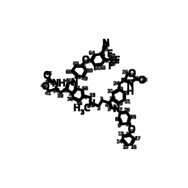 CN(CCc1cn(-c2ccc(Oc3ccccc3)cc2)c2ccc(C[C@H]3COC(=O)N3)cc12)Cc1ccc2c(C[C@H]3COC(=O)N3)cn(-c3ccc(Oc4ccc(C(F)(F)F)c(C#N)c4)cc3)c2c1